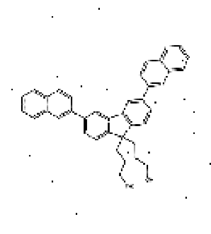 OCCCC1(CCCO)c2ccc(-c3ccc4ccccc4c3)cc2-c2cc(-c3ccc4ccccc4c3)ccc21